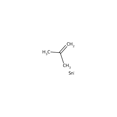 C=C(C)C.[Sn]